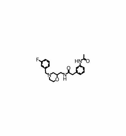 CC(=O)Nc1cccc(CC(=O)NCC2CN(Cc3cccc(F)c3)CCO2)c1